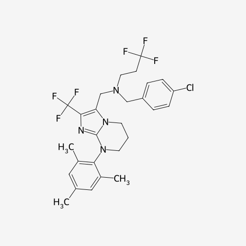 Cc1cc(C)c(N2CCCn3c2nc(C(F)(F)F)c3CN(CCC(F)(F)F)Cc2ccc(Cl)cc2)c(C)c1